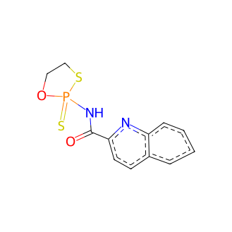 O=C(NP1(=S)OCCS1)c1ccc2ccccc2n1